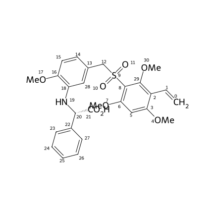 C=Cc1c(OC)cc(OC)c(S(=O)(=O)Cc2ccc(OC)c(N[C@H](C(=O)O)c3ccccc3)c2)c1OC